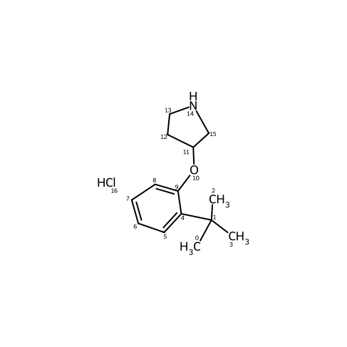 CC(C)(C)c1ccccc1OC1CCNC1.Cl